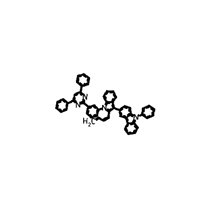 C=C/C=C\c1c(-c2ccc3c(c2)c2ccccc2n3-c2ccccc2)c2ccccc2n1-c1cccc(-c2nc(-c3ccccc3)cc(-c3ccccc3)n2)c1